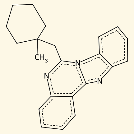 CC1(Cc2nc3ccccc3c3nc4ccccc4n23)CCCCC1